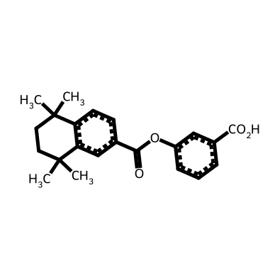 CC1(C)CCC(C)(C)c2cc(C(=O)Oc3cccc(C(=O)O)c3)ccc21